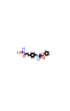 CC(C)(NCc1ccc(CCC(=O)NO)cc1)C(=O)OC1CCCC1